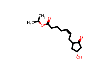 CC(C)OC(=O)CCC/C=C\CC1C[C@@H](O)CC1=O